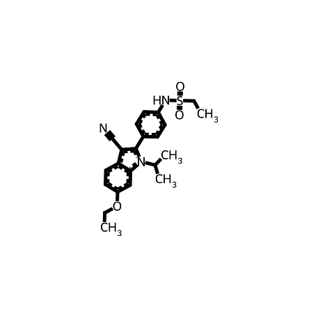 CCOc1ccc2c(C#N)c(-c3ccc(NS(=O)(=O)CC)cc3)n(C(C)C)c2c1